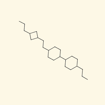 CCCC1CCC(C2CCC(CCC3CC(CCC)C3)CC2)CC1